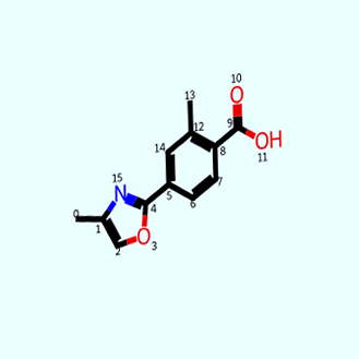 Cc1coc(-c2ccc(C(=O)O)c(C)c2)n1